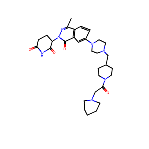 Cc1nn(C2CCC(=O)NC2=O)c(=O)c2cc(N3CCN(CC4CCN(C(=O)CN5CCCCC5)CC4)CC3)ccc12